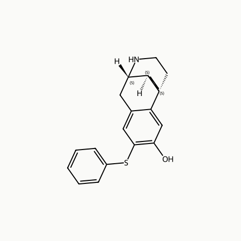 Oc1cc2c(cc1Sc1ccccc1)C[C@@H]1NCC[C@]23CCCC[C@H]13